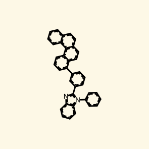 c1ccc(-n2c(-c3cccc(-c4cccc5c4ccc4ccc6ccccc6c45)c3)nc3ccccc32)cc1